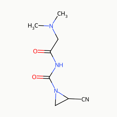 CN(C)CC(=O)NC(=O)N1CC1C#N